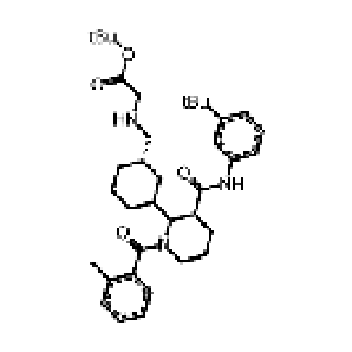 Cc1ccccc1C(=O)N1CCCC(C(=O)Nc2cccc(C(C)(C)C)c2)C1C1CCC[C@H](CNCC(=O)OC(C)(C)C)C1